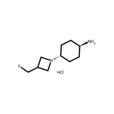 Cl.N[C@H]1CC[C@H](N2CC(CF)C2)CC1